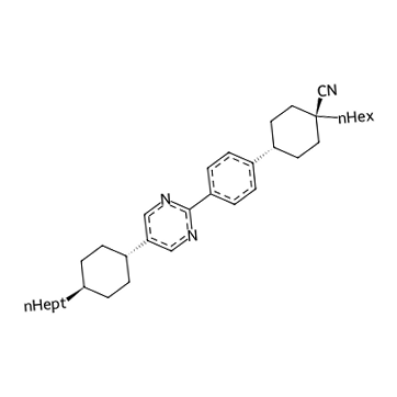 CCCCCCC[C@H]1CC[C@H](c2cnc(-c3ccc([C@H]4CC[C@@](C#N)(CCCCCC)CC4)cc3)nc2)CC1